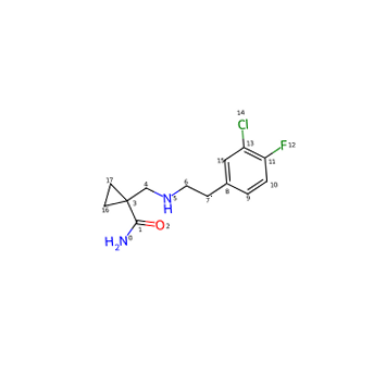 NC(=O)C1(CNC[CH]c2ccc(F)c(Cl)c2)CC1